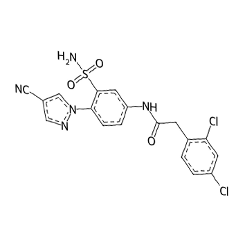 N#Cc1cnn(-c2ccc(NC(=O)Cc3ccc(Cl)cc3Cl)cc2S(N)(=O)=O)c1